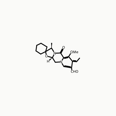 C/C=C1/C(C=O)=CN2C[C@@H]3OC4(CCCCC4)[C@@H](C)N3C(=O)C2=C1OC